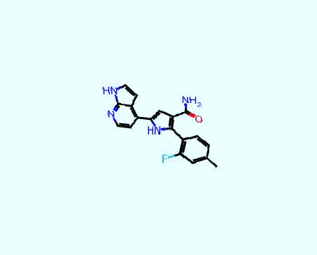 Cc1ccc(-c2[nH]c(-c3ccnc4[nH]ccc34)cc2C(N)=O)c(F)c1